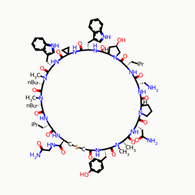 CCCC[C@H]1C(=O)N(C)[C@@H](CCCC)C(=O)N[C@@H](CC(C)C)C(=O)N[C@H](C(=O)NCC(N)=O)CSCC(=O)N[C@@H](Cc2ccc(O)cc2)C(=O)N(C)[C@@H](C)C(=O)N[C@@H](CC(N)=O)C(=O)N2CCC[C@H]2C(=O)N[C@@H](CN)C(=O)N[C@@H](CC(C)C)C(=O)N2C[C@H](O)C[C@H]2C(=O)N[C@@H](Cc2c[nH]c3ccccc23)C(=O)NC2(CC2)C(=O)N[C@@H](Cc2c[nH]c3ccccc23)C(=O)N1C